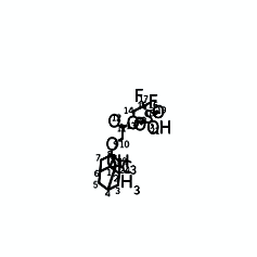 CC1C2CC3CC1CC(OCC(=O)OCC(F)(F)S(=O)(=O)O)(C2)C3C